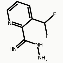 N=C(NN)c1ncccc1C(F)F